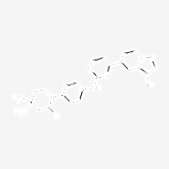 CC(C)c1cnn2ccc(-c3ccnc(Nc4ccc(N5CCC(C)(N)CC5=O)cc4)n3)cc12